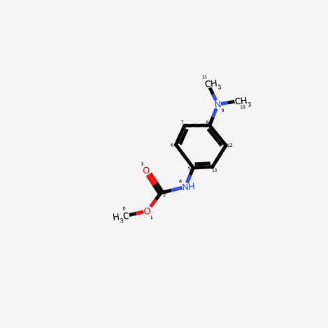 COC(=O)Nc1ccc(N(C)C)cc1